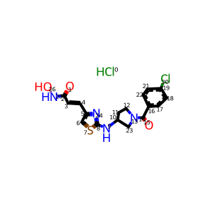 Cl.O=C(/C=C/c1csc(NC2CCN(C(=O)c3ccc(Cl)cc3)C2)n1)NO